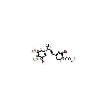 O=C(O)c1ccc(C=CC(c2cc(Br)c(Cl)c(Br)c2)C(F)(F)F)cc1Br